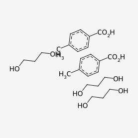 Cc1ccc(C(=O)O)cc1.Cc1ccc(C(=O)O)cc1.OCCCO.OCCCO.OCCCO